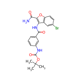 CC(C)(C)OC(=O)Nc1cccc(C(=O)Nc2c(C(N)=O)oc3ccc(Br)cc23)c1